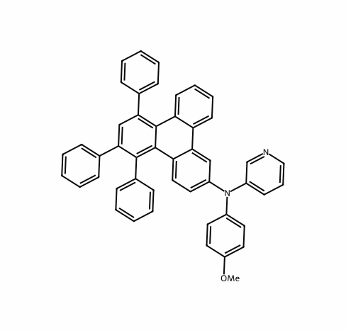 COc1ccc(N(c2cccnc2)c2ccc3c(c2)c2ccccc2c2c(-c4ccccc4)cc(-c4ccccc4)c(-c4ccccc4)c32)cc1